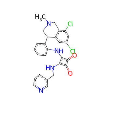 CN1Cc2c(Cl)cc(Cl)cc2C(c2ccccc2Nc2c(NCc3cccnc3)c(=O)c2=O)C1